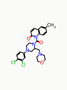 Cc1ccc2c(ccc(=O)n2C(=O)N2CCN(c3ccc(Cl)c(Cl)c3)CC2CN2CCOCC2)c1